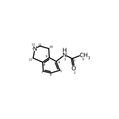 CC(=O)Nc1cccc2c1CC[N]C2